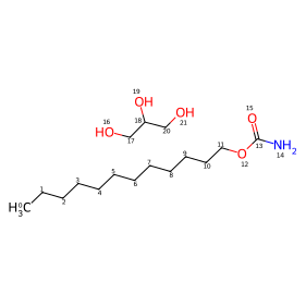 CCCCCCCCCCCCOC(N)=O.OCC(O)CO